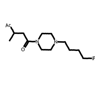 CC(=O)C(C)CC(=O)N1CCN(CCCCC(C)C)CC1